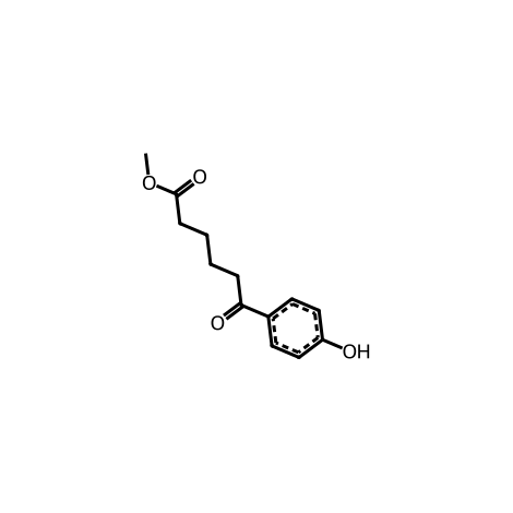 COC(=O)CCCCC(=O)c1ccc(O)cc1